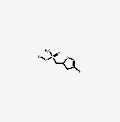 CCOP(C)(=O)CC1CC(Br)=NO1